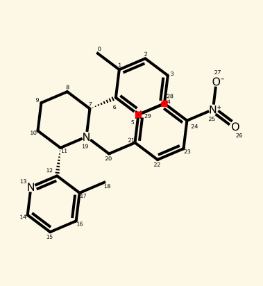 Cc1cccnc1[C@H]1CCC[C@@H](c2ncccc2C)N1Cc1ccc([N+](=O)[O-])cc1